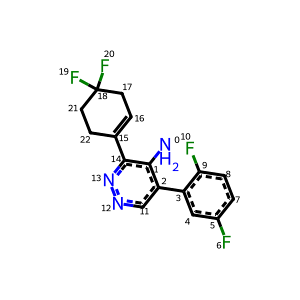 Nc1c(-c2cc(F)ccc2F)cnnc1C1=CCC(F)(F)CC1